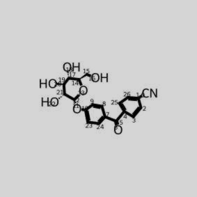 N#Cc1ccc(C(=O)c2ccc(O[C@H]3O[C@H](CO)[C@@H](O)[C@H](O)[C@H]3O)cc2)cc1